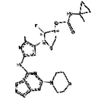 CC1(NC(=O)O[C@@H]2CO[C@H](c3cc(Nc4nc(N5CCOCC5)cc5nccn45)n[nH]3)[C@@H]2F)CC1